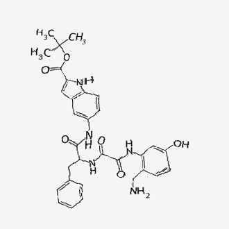 CC(C)(C)OC(=O)c1cc2cc(NC(=O)C(Cc3ccccc3)NC(=O)C(=O)Nc3cc(O)ccc3CN)ccc2[nH]1